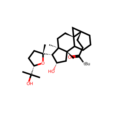 CC(C)(C)C(=O)CC[C@@]12CCCC3[C@]1(CC[C@]1(C)[C@@H]([C@@]4(C)CC[C@@H](C(C)(C)O)O4)[C@@H](O)C[C@@]31C)C2